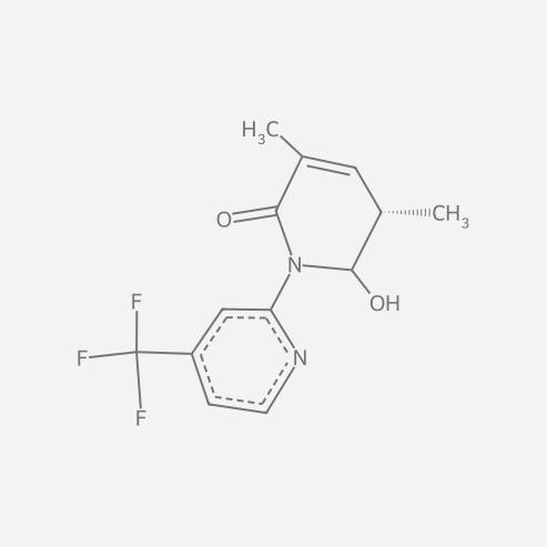 CC1=C[C@H](C)C(O)N(c2cc(C(F)(F)F)ccn2)C1=O